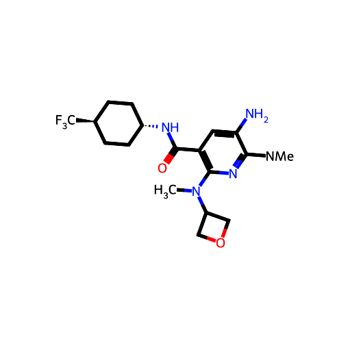 CNc1nc(N(C)C2COC2)c(C(=O)N[C@H]2CC[C@H](C(F)(F)F)CC2)cc1N